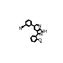 COc1ccccc1-c1n[nH]c2ncc(-c3cccc(C#N)c3)cc12